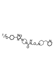 O=C(NCOCN1CCC(Cc2ccccn2)CC1)N1CCN(c2nc(-c3ccc(OC(F)(F)F)cc3)no2)CC1